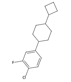 Fc1cc(C2CCC(C3CCC3)CC2)ccc1Cl